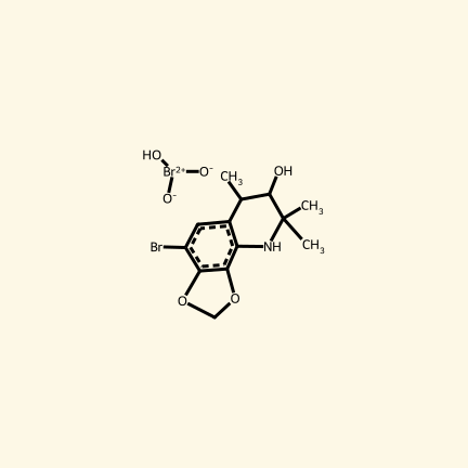 CC1c2cc(Br)c3c(c2NC(C)(C)C1O)OCO3.[O-][Br+2]([O-])O